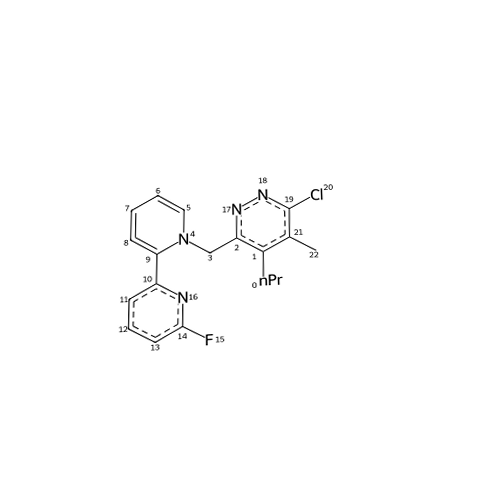 CCCc1c(CN2C=CC=C=C2c2cccc(F)n2)nnc(Cl)c1C